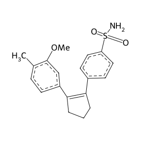 COc1cc(C2=C(c3ccc(S(N)(=O)=O)cc3)CCC2)ccc1C